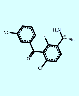 CC[C@@H](N)c1ccc(Cl)c(C(=O)c2cccc(C#N)c2)c1F